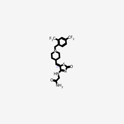 NC(=O)CNC1=NC(=O)S/C1=C\C1CCN(Cc2ccc(C(F)(F)F)cc2C(F)(F)F)CC1